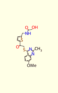 COc1ccc2c(SCC(=O)c3ccc(CNC(=O)CO)s3)nc(C)nc2c1